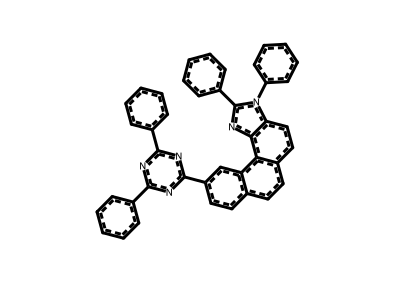 c1ccc(-c2nc(-c3ccccc3)nc(-c3ccc4ccc5ccc6c(nc(-c7ccccc7)n6-c6ccccc6)c5c4c3)n2)cc1